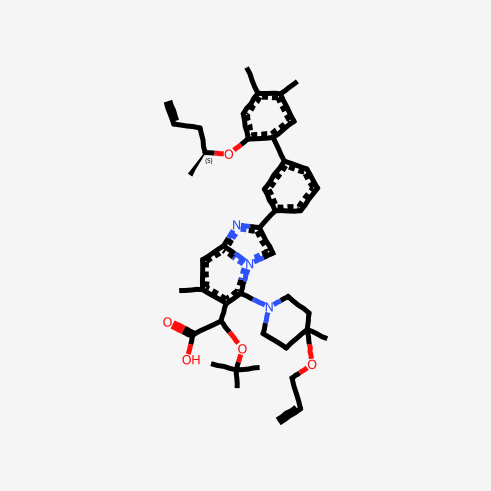 C=CCOC1(C)CCN(c2c(C(OC(C)(C)C)C(=O)O)c(C)cc3nc(-c4cccc(-c5cc(C)c(C)cc5O[C@@H](C)CC=C)c4)cn23)CC1